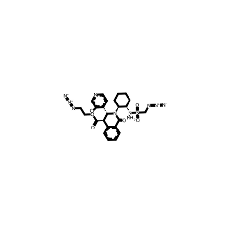 [N-]=[N+]=NCCOC(=O)[C@@H]1c2ccccc2C(=O)N([C@H]2CCCC[C@@H]2N(N)S(=O)(=O)CN=[N+]=[N-])[C@H]1c1ccncc1Cl